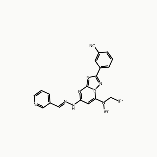 CC(C)CN(c1cc(N/N=C/c2cccnc2)nc2nc(-c3cccc(C#N)c3)nn12)C(C)C